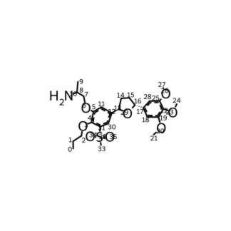 CCCOc1c(OCC(C)N)cc([C@H]2CC[C@H](c3cc(OC)c(OC)c(OC)c3)O2)cc1S(C)(=O)=O